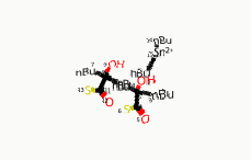 CCCCC(O)(CCCC)C(=O)[S-].CCCCC(O)(CCCC)C(=O)[S-].CCC[CH2][Sn+2][CH2]CCC